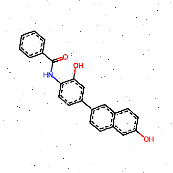 O=C(Nc1ccc(-c2ccc3cc(O)ccc3c2)cc1O)c1ccccc1